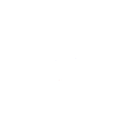 CC/C=C/c1cccc(P(=O)(O)O)c1/C=C/CC